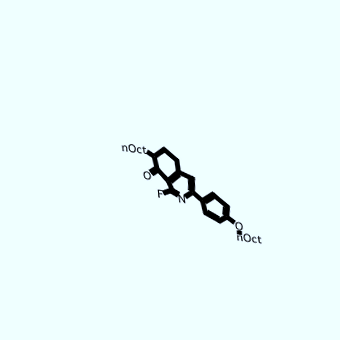 CCCCCCCCOc1ccc(-c2cc3c(c(F)n2)C(=O)C(CCCCCCCC)CC3)cc1